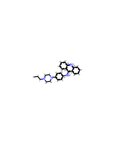 CCCN1CCN(c2ccc(Nc3c4ccccc4nc4ccccc34)cc2)CC1